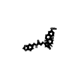 COc1ccc2c(c1)CC[C@H]1[C@@H]3[C@H](CCC(=O)NCc4ccc5c(c4)OCO5)CC(=O)[C@@]3(C)CC[C@H]21